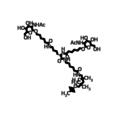 CC(=O)NC1C(OCCCCCC(=O)NCCCC[C@H](NC(=O)CCCCCOC2OC(CO)C(O)C(O)C2NC(C)=O)C(=O)NCCCCCC(=O)NCC(C)(C)CC(C)(C)COC23CC2(C)C3)OC(CO)C(O)C1O